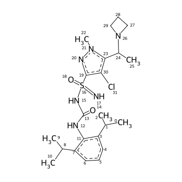 CC(C)c1cccc(C(C)C)c1NC(=O)NS(=N)(=O)c1nn(C)c(C(C)N2CCC2)c1Cl